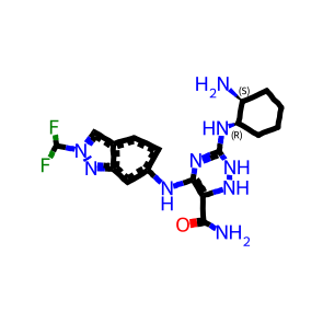 NC(=O)C1=C(Nc2ccc3cn(C(F)F)nc3c2)N=C(N[C@@H]2CCCC[C@@H]2N)NN1